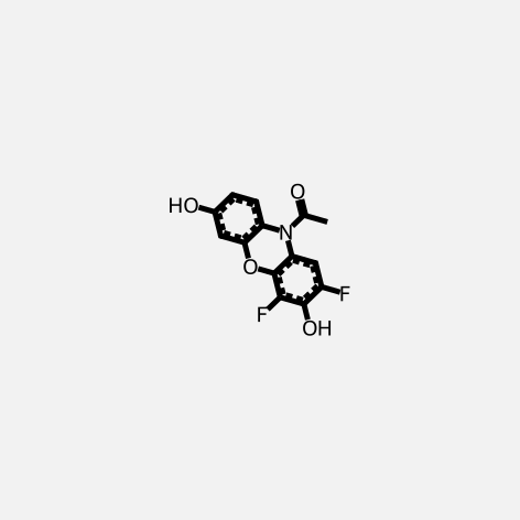 CC(=O)N1c2ccc(O)cc2Oc2c1cc(F)c(O)c2F